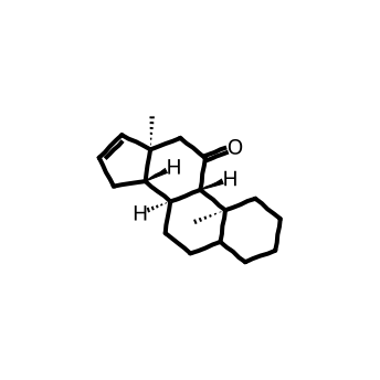 C[C@@]12C=CC[C@H]1[C@@H]1CCC3CCCC[C@]3(C)[C@H]1C(=O)C2